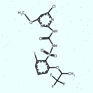 COc1cc(Cl)nc(NC(=O)NS(=O)(=O)c2c(I)cccc2OC(C)C(F)(F)F)n1